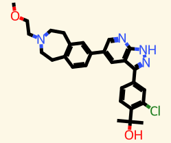 COCCN1CCc2ccc(-c3cnc4[nH]nc(-c5ccc(C(C)(C)O)c(Cl)c5)c4c3)cc2CC1